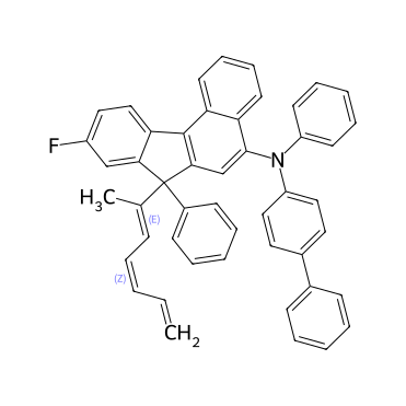 C=C/C=C\C=C(/C)C1(c2ccccc2)c2cc(F)ccc2-c2c1cc(N(c1ccccc1)c1ccc(-c3ccccc3)cc1)c1ccccc21